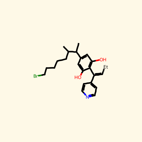 CC/C=C(/c1ccncc1)c1c(O)cc(C(C)C(C)CCCCCBr)cc1O